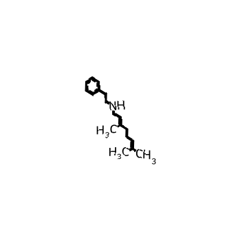 CC(C)=CCC/C(C)=C/CNCCc1ccccc1